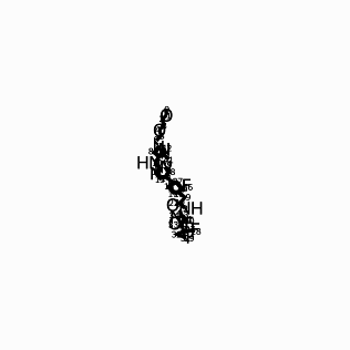 COCCOCCn1cc(Nc2ncc(-c3ccc(CC(=O)Nc4cc(C5(C(F)(F)F)CC5)on4)c(F)c3)cn2)c(C)n1